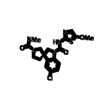 CNC(=O)N1CC[C@@]2(C1)CN(C(=O)Nc1ncc(OC)s1)c1ccc(Cl)cc12